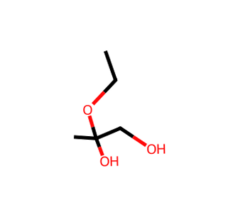 CCOC(C)(O)CO